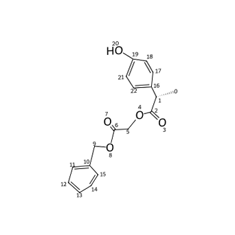 C[C@H](C(=O)OCC(=O)OCc1ccccc1)c1ccc(O)cc1